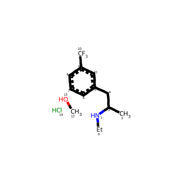 CCNC(C)Cc1cccc(C(F)(F)F)c1.CO.Cl